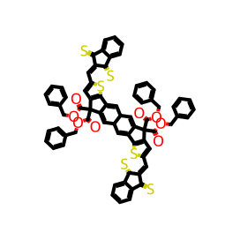 O=C(OCc1ccccc1)C1(C(=O)OCc2ccccc2)C2=CC3C=C4C(=CC3C=C2c2sc(C=C3C(=S)c5ccccc5C3=S)cc21)C(C(=O)OCc1ccccc1)(C(=O)OCc1ccccc1)c1cc(C=C2C(=S)c3ccccc3C2=S)sc14